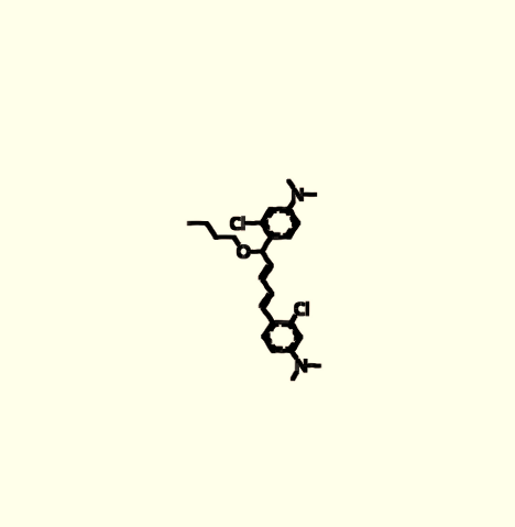 CCCCOC(C=CC=Cc1ccc(N(C)C)cc1Cl)c1ccc(N(C)C)cc1Cl